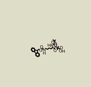 CC(C)(C)OC(=O)NC(CCCCNC(=O)OCC1c2ccccc2-c2ccccc21)C(=O)NC(C)(C)C(=O)O